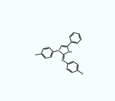 Cc1ccc([SH]2C=C(c3ccccc3)NC2=Nc2ccc(F)cc2)cc1